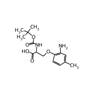 Cc1ccc(OCC(NC(=O)OC(C)(C)C)C(=O)O)c(N)c1